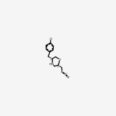 [N-]=[N+]=NC[C@H]1CN[C@@H](Cc2ccc(Cl)cc2)CO1